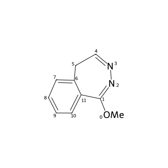 COC1=NN=CCc2ccccc21